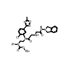 Cc1nc(-c2ccc(Cl)c(N(CCN(C(=O)OC(C)(C)C)C(C)C)C(=O)CNCC(=O)N(C)N3Cc4ccccc4C3)c2)no1